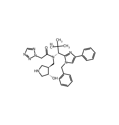 CC(C)(C)[C@H](c1nc(-c2ccccc2)cn1Cc1ccccc1)N(C[C@@H]1CNC[C@H]1O)C(=O)Cn1ncnn1